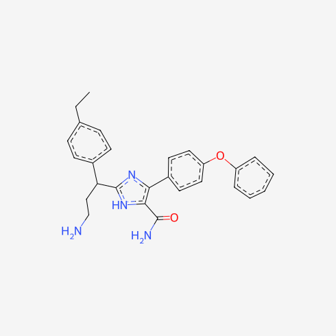 CCc1ccc(C(CCN)c2nc(-c3ccc(Oc4ccccc4)cc3)c(C(N)=O)[nH]2)cc1